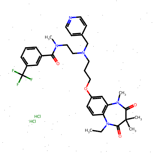 CCN1C(=O)C(C)(C)C(=O)N(C)c2cc(OCCCN(CCN(C)C(=O)c3cccc(C(F)(F)F)c3)Cc3ccncc3)ccc21.Cl.Cl